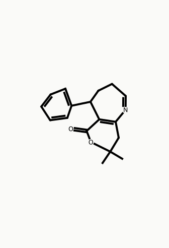 CC1(C)CC2=C(C(=O)O1)C(c1ccccc1)CCC=N2